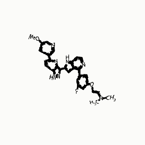 COc1cncc(-c2ccc3[nH]nc(-c4cc5c(-c6cc(F)cc(OCCN(C)C)c6)nccc5[nH]4)c3n2)c1